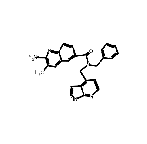 Cc1cc2cc(C(=O)N(Cc3ccccc3)Cc3ccnc4[nH]ccc34)ccc2nc1N